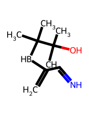 C=C(BC(C)(C)C(C)(C)O)C=N